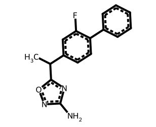 CC(c1ccc(-c2ccccc2)c(F)c1)c1nc(N)no1